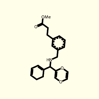 COC(=O)CCc1cccc(CNC(C2=CC=CCC2)C2=COC=CO2)c1